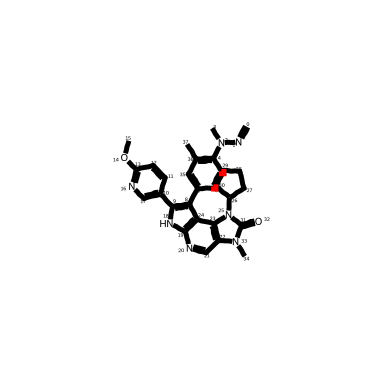 C=NN(C)c1ccc(-c2c(-c3ccc(OC)nc3)[nH]c3ncc4c(c23)n(C2CCCC2)c(=O)n4C)cc1C